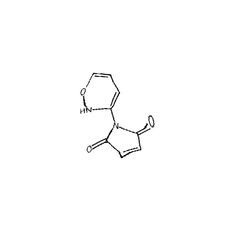 O=C1C=CC(=O)N1C1=CC=CON1